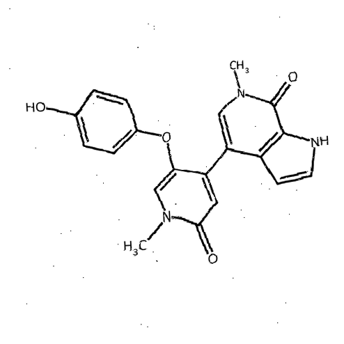 Cn1cc(Oc2ccc(O)cc2)c(-c2cn(C)c(=O)c3[nH]ccc23)cc1=O